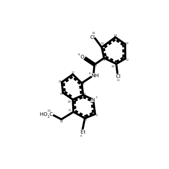 CCc1cnc2c(NC(=O)c3c(Cl)cccc3Cl)cccc2c1CC(=O)O